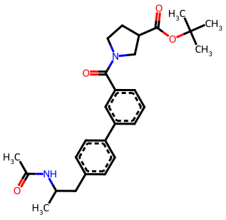 CC(=O)NC(C)Cc1ccc(-c2cccc(C(=O)N3CCC(C(=O)OC(C)(C)C)C3)c2)cc1